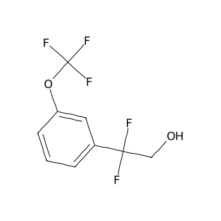 OCC(F)(F)c1cccc(OC(F)(F)F)c1